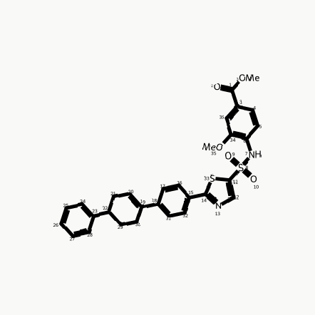 COC(=O)c1ccc(NS(=O)(=O)c2cnc(-c3ccc(C4=CCC(c5ccccc5)CC4)cc3)s2)c(OC)c1